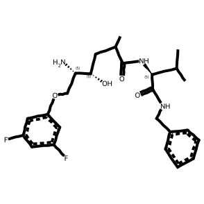 CC(C[C@H](O)[C@@H](N)COc1cc(F)cc(F)c1)C(=O)N[C@H](C(=O)NCc1ccccc1)C(C)C